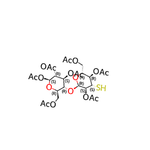 CC(=O)OC[C@H]1O[C@H](O[C@H]2[C@H](OC(C)=O)[C@@H](OC(C)=O)[C@H](OC(C)=O)O[C@@H]2COC(C)=O)[C@H](OC(C)=O)[C@@H](S)[C@@H]1OC(C)=O